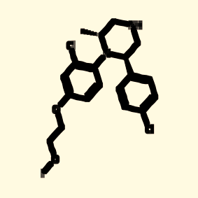 C[C@@H]1CNC[C@@H](c2ccc(Cl)cc2)N1c1ccc(OCCOI)cc1Cl